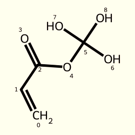 C=CC(=O)OC(O)(O)O